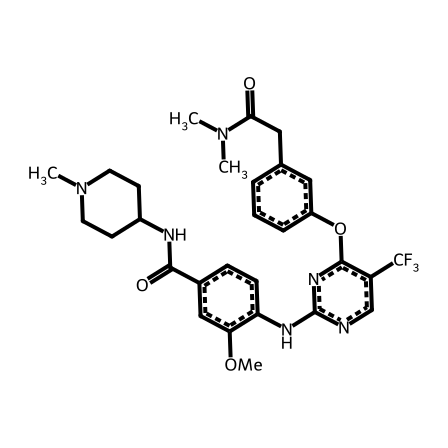 COc1cc(C(=O)NC2CCN(C)CC2)ccc1Nc1ncc(C(F)(F)F)c(Oc2cccc(CC(=O)N(C)C)c2)n1